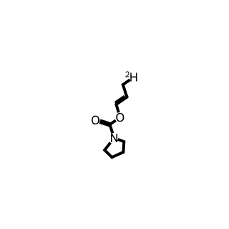 [2H]CC=COC(=O)N1CCCC1